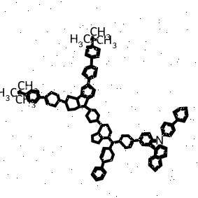 CC(C)(C)c1ccc(C2=CCC(C3CCC4C(C3)c3cc(-c5ccc(-c6ccc(C(C)(C)C)cc6)cc5)ccc3C4C3CCC(C4CCC(C(C5C=CC(c6ccccc6)CC5)C5CC=C(c6ccc7c(c6)c6c8ccccc8ccc6n7-c6ccc(-c7ccccc7)cc6)CC5)C5CCCC45)CC3)CC2)cc1